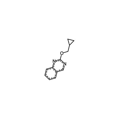 c1ccc2nc(OCC3CC3)ncc2c1